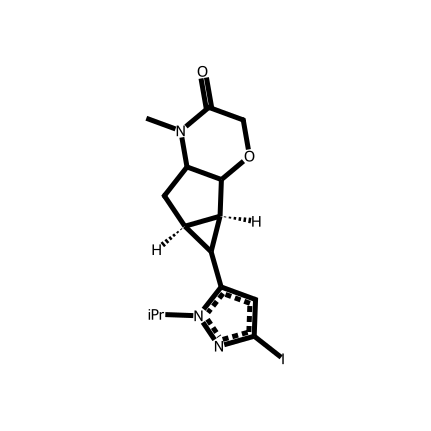 CC(C)n1nc(I)cc1C1[C@@H]2C3OCC(=O)N(C)C3C[C@H]12